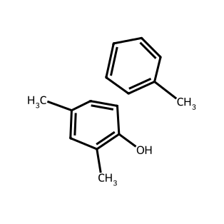 Cc1ccc(O)c(C)c1.Cc1ccccc1